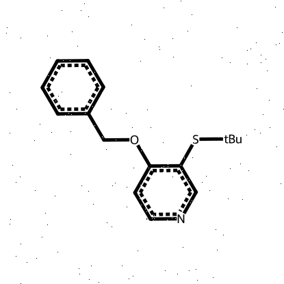 CC(C)(C)Sc1cn[c]cc1OCc1ccccc1